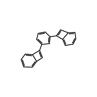 C1=C(c2cccc(C3=Cc4ccccc43)c2)c2ccccc21